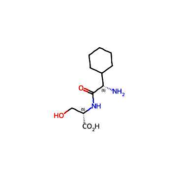 N[C@H](C(=O)N[C@@H](CO)C(=O)O)C1CCCCC1